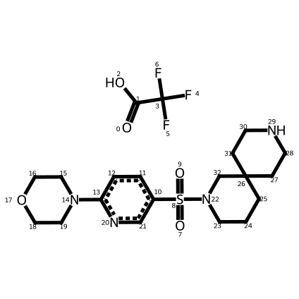 O=C(O)C(F)(F)F.O=S(=O)(c1ccc(N2CCOCC2)nc1)N1CCCC2(CCNCC2)C1